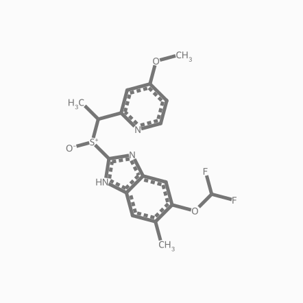 COc1ccnc(C(C)[S+]([O-])c2nc3cc(OC(F)F)c(C)cc3[nH]2)c1